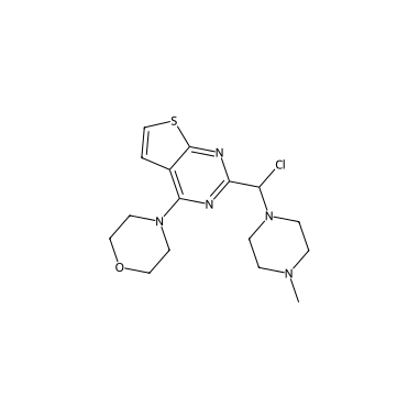 CN1CCN(C(Cl)c2nc(N3CCOCC3)c3ccsc3n2)CC1